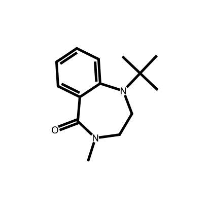 CN1CCN(C(C)(C)C)c2ccccc2C1=O